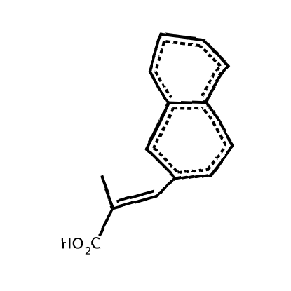 CC(=Cc1ccc2ccccc2c1)C(=O)O